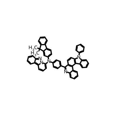 CC1(C)c2ccccc2-c2ccc(N(c3ccc(-c4nc5ccccc5c5c4ccc4c5c5ccccc5n4-c4ccccc4)cc3)c3cccc4c5ccccc5nn34)cc21